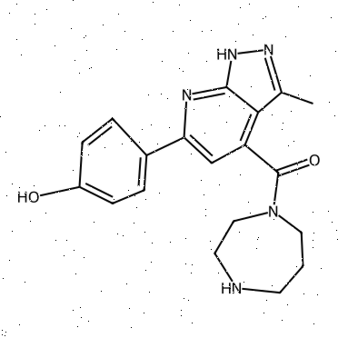 Cc1n[nH]c2nc(-c3ccc(O)cc3)cc(C(=O)N3CCCNCC3)c12